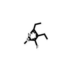 CCc1nn(C)c(F)c1CC